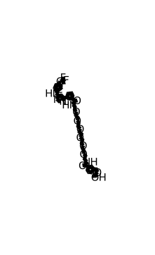 O=C(NCCOCCOCCOCCOCCOCCOCCNC(=O)c1ccc2c(c1)COB2O)c1cccc(-c2cc(Nc3ccc(OC(F)(F)F)cc3)ncn2)c1